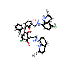 Cc1ccc2c(Cl)ccc(NCc3c4oc5c(CNc6ccc(Cl)c7ccc(C)nc67)c(O)ccc5c(-c5ccccc5C(=O)O)c-4cc(Cl)c3=O)c2n1